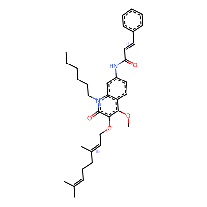 CCCCCCn1c(=O)c(OC/C=C(\C)CCC=C(C)C)c(OC)c2ccc(NC(=O)/C=C/c3ccccc3)cc21